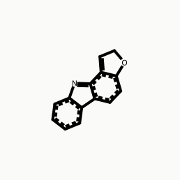 C1=c2c(ccc3c2=Nc2ccccc2-3)OC1